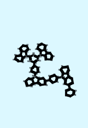 c1ccc(-c2ccc3c4ccccc4n(-c4ccc(-c5ccc6c7ccccc7n(-c7ccc(-c8nc(-n9c%10ccccc%10c%10ccccc%109)nc(-n9c%10ccccc%10c%10ccccc%109)n8)cc7)c6c5)cc4)c3c2)cc1